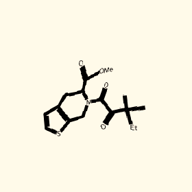 CCC(C)(C)C(=O)C(=O)N1Cc2sccc2CC1C(=O)OC